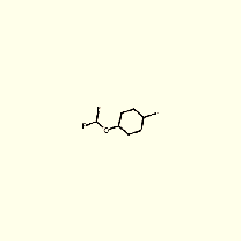 [CH2]C1CCC(OC(F)F)CC1